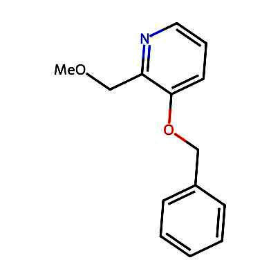 COCc1ncccc1OCc1ccccc1